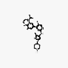 Cc1nn(C2CCNCC2)cc1Nc1ncc(F)c(-c2cc(F)c3c(c2)N(C(C)C)CCO3)n1